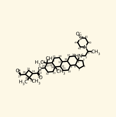 CC(CNC12CCCC1C1CCC3C(CCC4C(C)(C)C(OC(=O)C5CC(C=O)C5(C)C)CCC34C)C1CC2)N1CC[S+]([O-])CC1